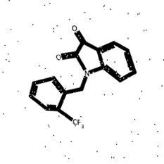 O=C1C(=O)N(Cc2ccccc2C(F)(F)F)c2ccccc21